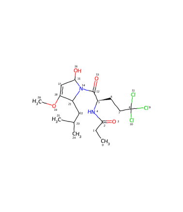 CCC(=O)N[C@H](CCC(Cl)(Cl)Cl)C(=O)N1C(O)C=C(OC)C1CC(C)C